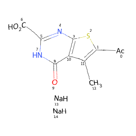 CC(=O)c1sc2nc(C(=O)O)[nH]c(=O)c2c1C.[NaH].[NaH]